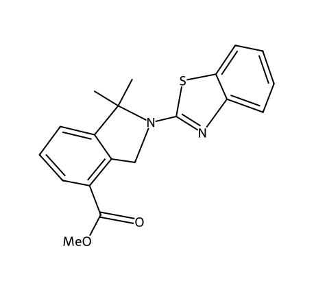 COC(=O)c1cccc2c1CN(c1nc3ccccc3s1)C2(C)C